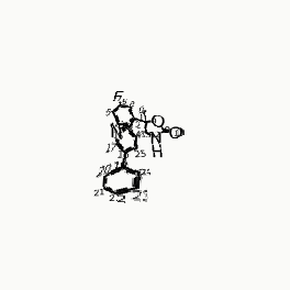 C[C@@]1(c2cccc(F)c2)OC(=O)N[C@@H]1c1cncc(-c2ccccc2)c1